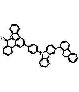 O=c1c2ccccc2c2cc(-c3ccc(-n4c5ccccc5c5cc(-c6cccc7c6sc6ccccc67)ccc54)cc3)cc3c4ccccc4n1c23